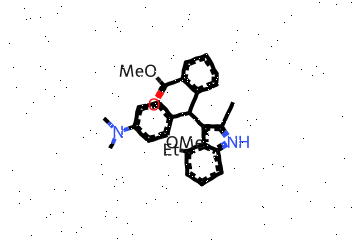 CCc1cccc2[nH]c(C)c(C(c3ccc(N(C)C)cc3OC)c3ccccc3C(=O)OC)c12